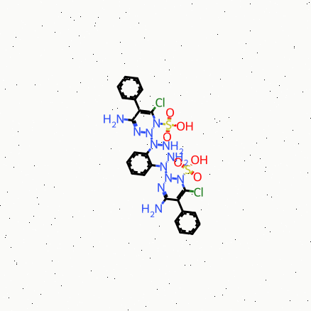 NC1=NN(N(N)c2ccccc2N(N)N2N=C(N)C(c3ccccc3)=C(Cl)N2S(=O)(=O)O)N(S(=O)(=O)O)C(Cl)=C1c1ccccc1